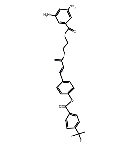 Nc1cc(N)cc(C(=O)OCCOC(=O)/C=C/c2ccc(OC(=O)c3ccc(C(F)(F)F)cc3)cc2)c1